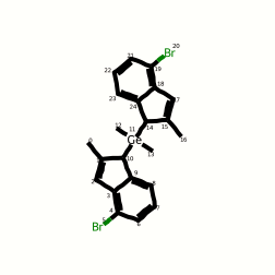 CC1=Cc2c(Br)cccc2[CH]1[Ge]([CH3])([CH3])[CH]1C(C)=Cc2c(Br)cccc21